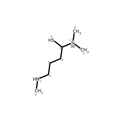 CNCCCC(S)[SiH](C)C